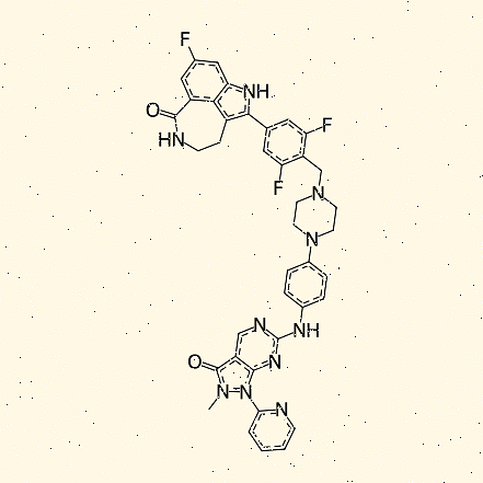 Cn1c(=O)c2cnc(Nc3ccc(N4CCN(Cc5c(F)cc(-c6[nH]c7cc(F)cc8c7c6CCNC8=O)cc5F)CC4)cc3)nc2n1-c1ccccn1